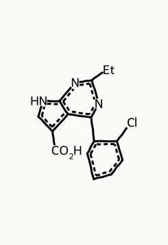 CCc1nc(-c2ccccc2Cl)c2c(C(=O)O)c[nH]c2n1